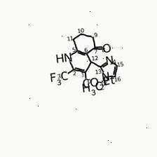 CCOC(=O)C1=C(C(F)(F)F)NC2=C(C(=O)CCC2)C1c1nccn1C